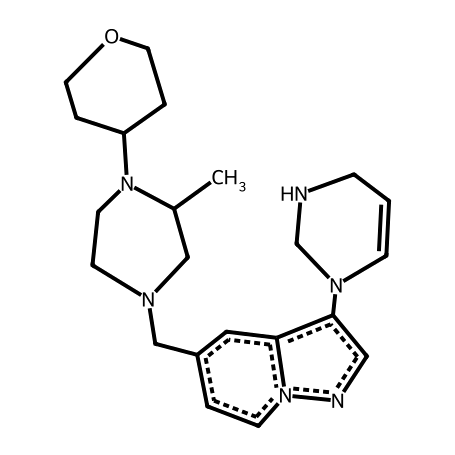 CC1CN(Cc2ccn3ncc(N4C=CCNC4)c3c2)CCN1C1CCOCC1